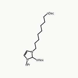 CCCCCCCCCCCCCCCCCCN1C=CN(CCC)C1CCCCCC